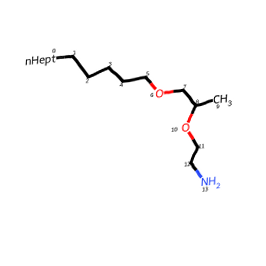 CCCCCCCCCCCCOCC(C)OCCN